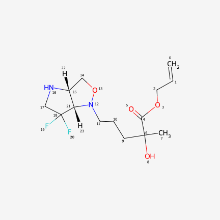 C=CCOC(=O)C(C)(O)CCCN1OC[C@H]2NCC(F)(F)[C@H]21